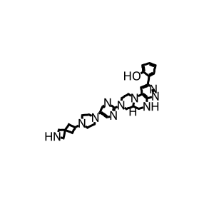 Oc1ccccc1-c1cc2c(nn1)NC[C@H]1CN(c3ncc(N4CCN(C5CC6(CNC6)C5)CC4)cn3)CCN21